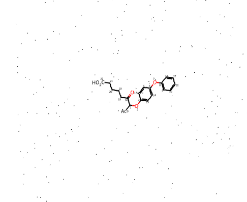 [CH2]C(=O)C(Oc1ccc(Oc2ccccc2)cc1)C(=O)CCCCC(=O)O